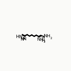 NN/C=C(\N)CCCCCc1c[nH]nn1